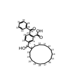 O=C(O)c1cc(C(O)C2CCCCCCCCCCCCCC2)ccc1C(=O)c1ccccc1